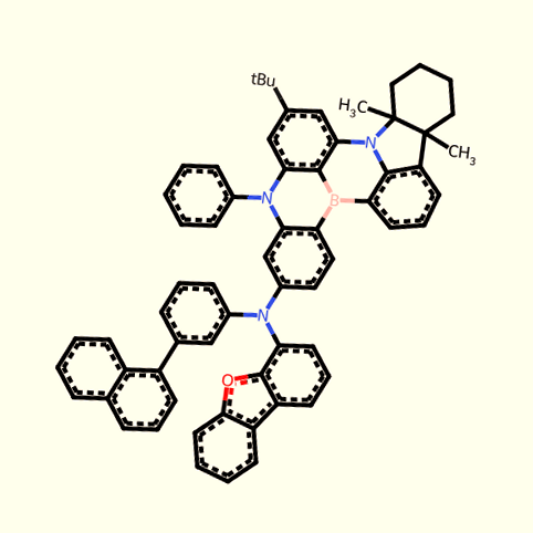 CC(C)(C)c1cc2c3c(c1)N1c4c(cccc4C4(C)CCCCC14C)B3c1ccc(N(c3cccc(-c4cccc5ccccc45)c3)c3cccc4c3oc3ccccc34)cc1N2c1ccccc1